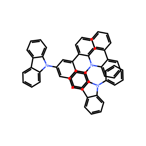 c1ccc(-c2ccccc2N(c2ccccc2-c2cc(-n3c4ccccc4c4ccccc43)cc3ccccc23)c2cccc3c4ccccc4n(-c4ccccc4)c23)cc1